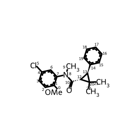 COc1ccc(Cl)cc1N(C)C(=O)[C@@H]1[C@@H](c2ccccc2)C1(C)C